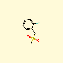 CS(=O)(=O)[CH]c1ccccc1F